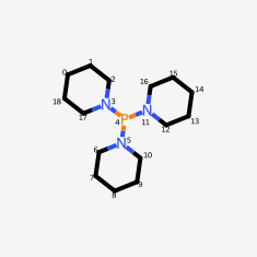 C1CCN(P(N2CCCCC2)N2CCCCC2)CC1